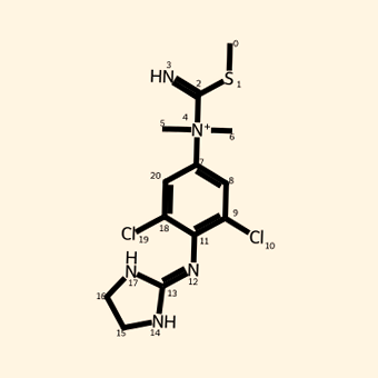 CSC(=N)[N+](C)(C)c1cc(Cl)c(N=C2NCCN2)c(Cl)c1